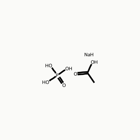 CC(=O)O.O=P(O)(O)O.[NaH]